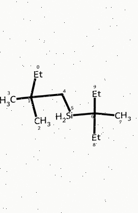 CCC(C)(C)C[SiH2]C(C)(CC)CC